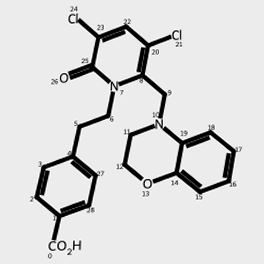 O=C(O)c1ccc(CCn2c(CN3CCOc4ccccc43)c(Cl)cc(Cl)c2=O)cc1